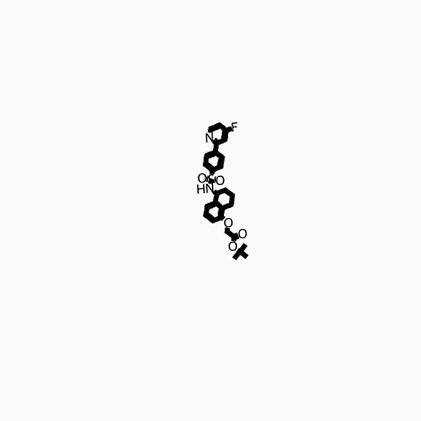 CC(C)(C)OC(=O)COc1cccc2c1CCCC2NS(=O)(=O)c1ccc(-c2cc(F)ccn2)cc1